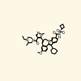 CCN1CCN(C(=O)c2cnn(C)c2C2=Cc3cc(OC)ccc3-c3c(C4CCCCC4)c4ccc(C(=O)NS(=O)(=O)C5CCC5)cc4n3C2)CC1C